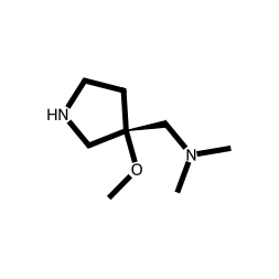 CO[C@@]1(CN(C)C)CCNC1